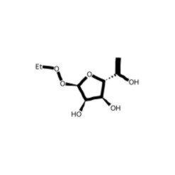 C=C(O)[C@H]1O[C@H](OOCC)[C@H](O)[C@@H]1O